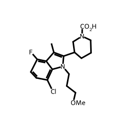 COCCCn1c(C2CCCN(C(=O)O)C2)c(C)c2c(F)ccc(Cl)c21